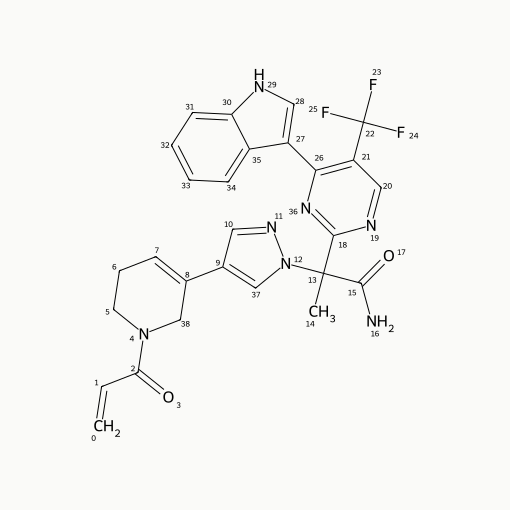 C=CC(=O)N1CCC=C(c2cnn(C(C)(C(N)=O)c3ncc(C(F)(F)F)c(-c4c[nH]c5ccccc45)n3)c2)C1